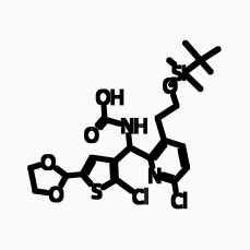 CC(C)(C)[Si](C)(C)OCCc1ccc(Cl)nc1C(NC(=O)O)c1cc(C2OCCO2)sc1Cl